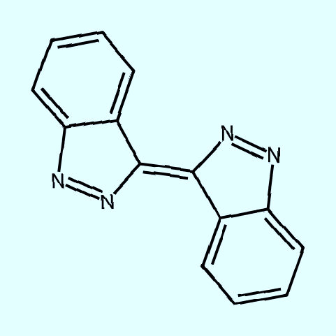 c1ccc2c(c1)N=NC2=C1N=Nc2ccccc21